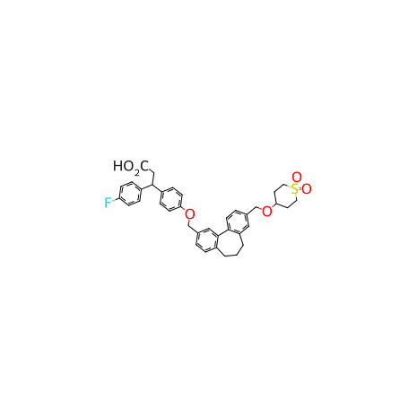 O=C(O)CC(c1ccc(F)cc1)c1ccc(OCc2ccc3c(c2)-c2ccc(COC4CCS(=O)(=O)CC4)cc2CCC3)cc1